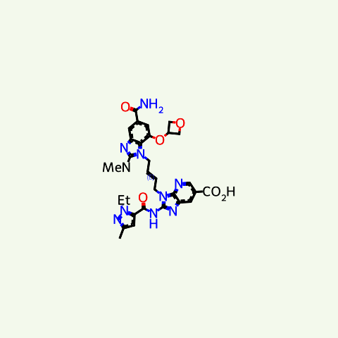 CCn1nc(C)cc1C(=O)Nc1nc2cc(C(=O)O)cnc2n1C/C=C/Cn1c(NC)nc2cc(C(N)=O)cc(OC3COC3)c21